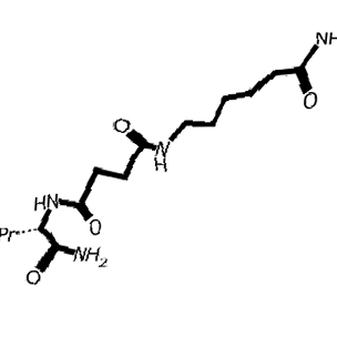 CC(C)[C@H](NC(=O)CCC(=O)NCCCCCC(N)=O)C(N)=O